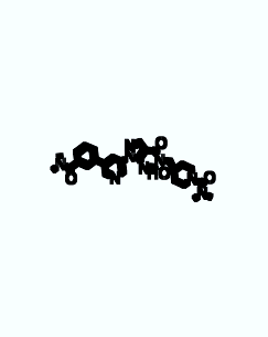 CN(C)C(=O)c1cccc(-c2cncc(-n3ncc4c(=O)n(CC5(O)CCN(C(=O)N(C)C)CC5)cnc43)c2)c1